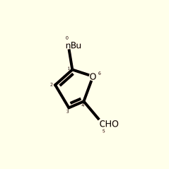 CCCCc1ccc(C=O)o1